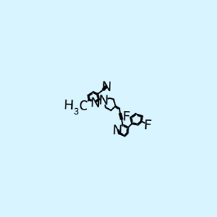 Cc1ccc(C#N)c(N2CCC(=CC#Cc3ncccc3-c3cc(F)ccc3F)CC2)n1